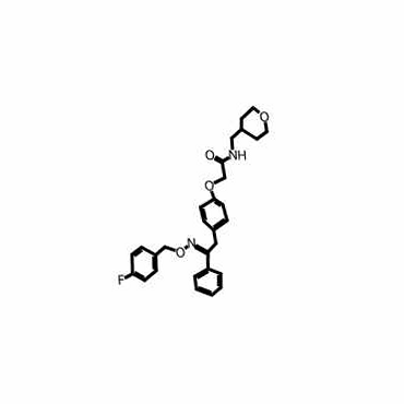 O=C(COc1ccc(CC(=NOCc2ccc(F)cc2)c2ccccc2)cc1)NCC1CCOCC1